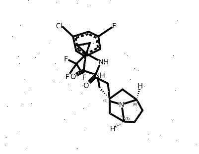 O=C(CCN1[C@@H]2CC[C@H]1C[C@H](CNC(=O)c1cc(F)cc(Cl)c1)C2)NC1(C(F)(F)F)CC1